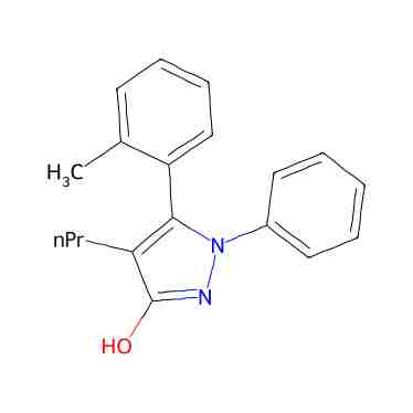 CCCc1c(O)nn(-c2ccccc2)c1-c1ccccc1C